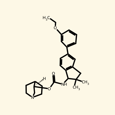 CCOc1cccc(-c2ccc3c(c2)CC(C)(C)C3NC(=O)O[C@H]2CN3CCC2CC3)c1